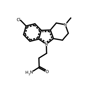 CN1CCc2c(c3cc(Cl)ccc3n2CCC(N)=O)C1